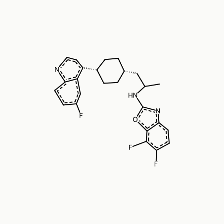 CC(C[C@H]1CC[C@@H](c2ccnc3ccc(F)cc32)CC1)Nc1nc2ccc(F)c(F)c2o1